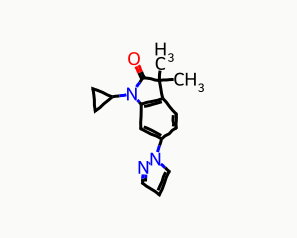 CC1(C)C(=O)N(C2CC2)c2cc(-n3cccn3)ccc21